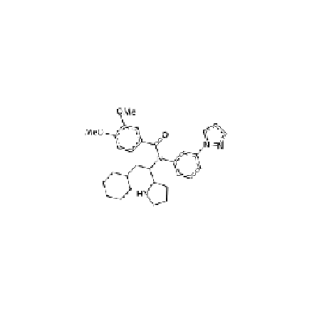 COc1ccc(C(=O)N(c2cccc(-n3cccn3)c2)C(CC2CCCCC2)C2CCCN2)cc1OC